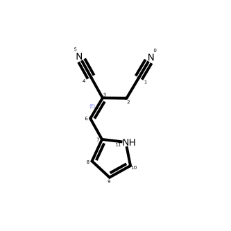 N#CC/C(C#N)=C\c1ccc[nH]1